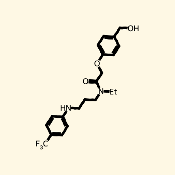 CCN(CCCNc1ccc(C(F)(F)F)cc1)C(=O)COc1ccc(CO)cc1